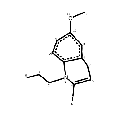 CCCN1C(I)=CCc2cc(OC)ccc21